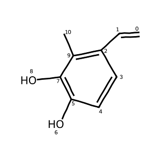 C=Cc1ccc(O)c(O)c1C